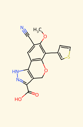 COc1c(C#N)cc2c(c1-c1ccsc1)OCc1c(C(=O)O)n[nH]c1-2